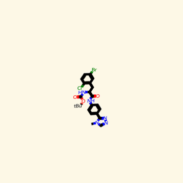 Cn1cnnc1-c1ccc(NC(=O)C(Cc2cc(Br)ccc2Cl)NC(=O)OC(C)(C)C)cc1